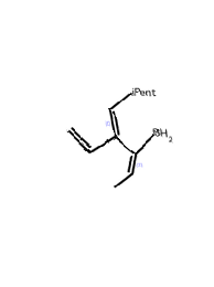 BC(=C/C)/C(C=C)=C\C(C)CCC